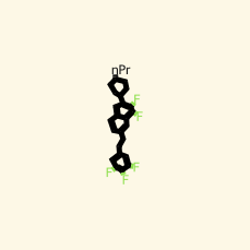 CCCC1CCC(c2cc3ccc(CCc4cc(F)c(F)c(F)c4)cc3c(F)c2F)CC1